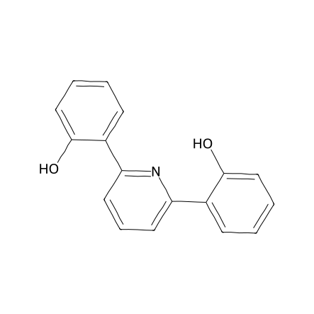 Oc1ccccc1-c1cccc(-c2ccccc2O)n1